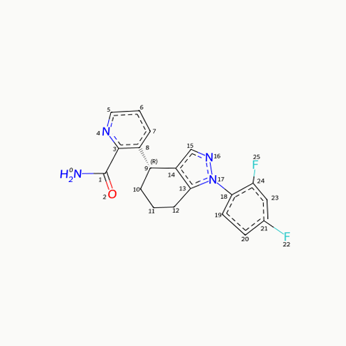 NC(=O)c1ncccc1[C@H]1CCCc2c1cnn2-c1ccc(F)cc1F